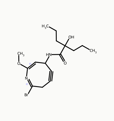 CCCC(O)(CCC)C(=O)NC1C#CC/C(Br)=N\C(OC)=C/1